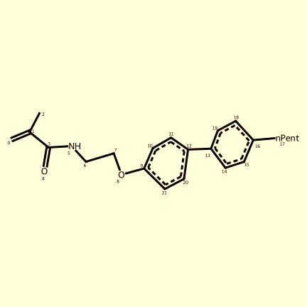 C=C(C)C(=O)NCCOc1ccc(-c2ccc(CCCCC)cc2)cc1